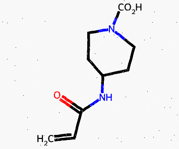 C=CC(=O)NC1CCN(C(=O)O)CC1